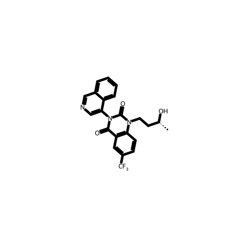 C[C@@H](O)CCn1c(=O)n(-c2cncc3ccccc23)c(=O)c2cc(C(F)(F)F)ccc21